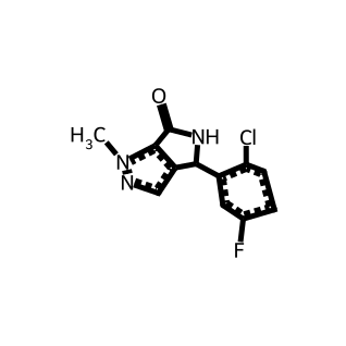 Cn1ncc2c1C(=O)NC2c1cc(F)ccc1Cl